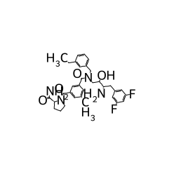 CCc1cccc(CN(C[C@@H](O)[C@@H](N)Cc2cc(F)cc(F)c2)C(=O)c2cc(C)cc(C(=O)N3CCC[C@H]3C(N)=O)c2)c1